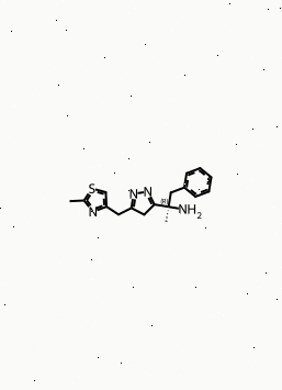 Cc1nc(CC2=NN=C([C@](C)(N)Cc3ccccc3)C2)cs1